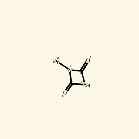 CC(C)N1C(=O)BC1=O